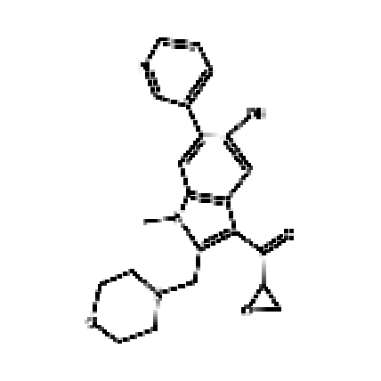 Cn1c(CN2CCOCC2)c(C(=O)C2CO2)c2cc(O)c(-c3cccnc3)cc21